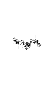 CCOC(=O)C(NCc1cccc2cc(NS(=O)(=O)c3ccccc3)ccc12)C(NCc1cccc2cc(NS(=O)(=O)c3ccccc3)ccc12)C(=O)NC